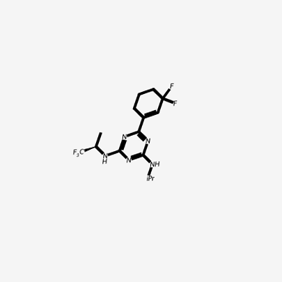 CC(C)Nc1nc(N[C@H](C)C(F)(F)F)nc(C2=CC(F)(F)CCC2)n1